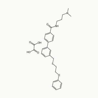 CN(C)CCCNC(=O)c1ccc(-c2cccc(CSCCOc3ccccc3)c2)cc1.O=C(O)C(=O)O